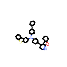 c1ccc(-c2ccc(N(c3ccc(-c4ccnc5oc6ccccc6c45)cc3)c3ccc4sc5ccccc5c4c3)cc2)cc1